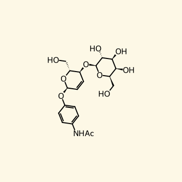 CC(=O)Nc1ccc(O[C@@H]2C=C[C@H](O[C@@H]3O[C@H](CO)[C@H](O)[C@H](O)[C@H]3O)[C@@H](CO)O2)cc1